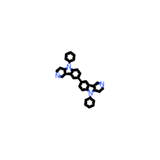 c1ccc(-n2c3ccncc3c3cc(-c4ccc5c(c4)c4cnccc4n5-c4ccccc4)ccc32)cc1